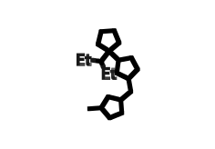 CCC(CC)C1(C2CCC(CC3CCC(C)C3)C2)CCCC1